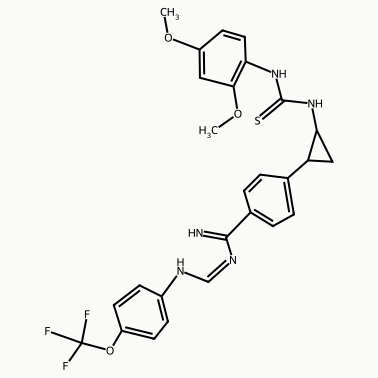 COc1ccc(NC(=S)NC2CC2c2ccc(C(=N)/N=C\Nc3ccc(OC(F)(F)F)cc3)cc2)c(OC)c1